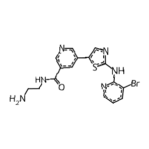 NCCNC(=O)c1cncc(-c2cnc(Nc3ncccc3Br)s2)c1